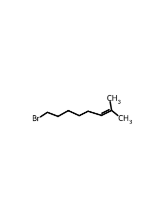 CC(C)=CCCCCCBr